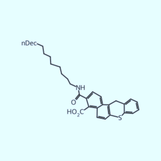 CCCCCCCCCCCCCCCCCCNC(=O)c1ccc2c3c(ccc2c1C(=O)O)Sc1ccccc1C3